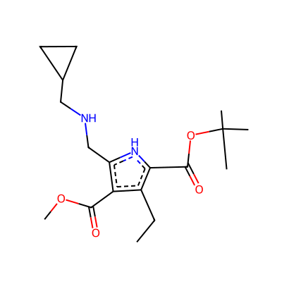 CCc1c(C(=O)OC(C)(C)C)[nH]c(CNCC2CC2)c1C(=O)OC